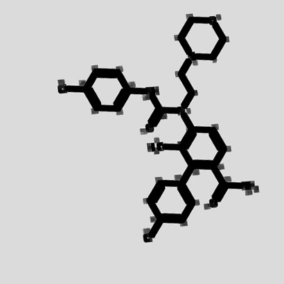 Cc1c(N(CCN2CCOCC2)C(=O)Nc2ccc(Cl)cc2)ccc(C(N)=O)c1-c1ccc(Cl)cc1